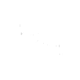 OC(CCl)COc1cccc2c(OCC(O)CCl)cccc12